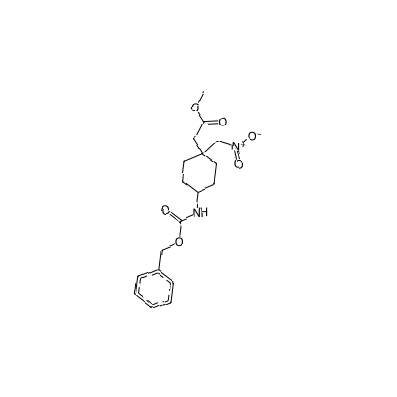 COC(=O)CC1(C[N+](=O)[O-])CCC(NC(=O)OCc2ccccc2)CC1